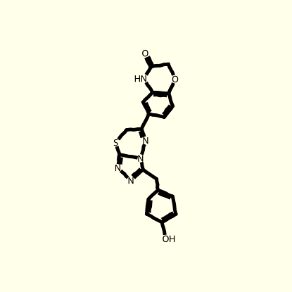 O=C1COc2ccc(C3=Nn4c(Cc5ccc(O)cc5)nnc4SC3)cc2N1